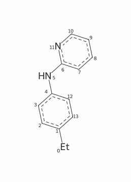 CCc1ccc(Nc2ccccn2)cc1